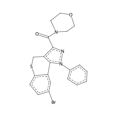 O=C(c1nn(-c2ccccc2)c2c1CSc1ccc(Br)cc1-2)N1CCOCC1